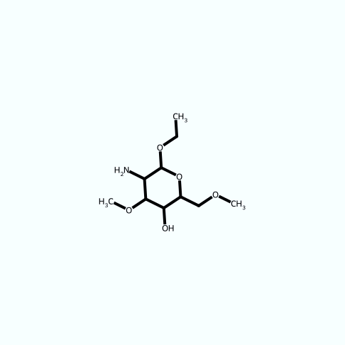 CCOC1OC(COC)C(O)C(OC)C1N